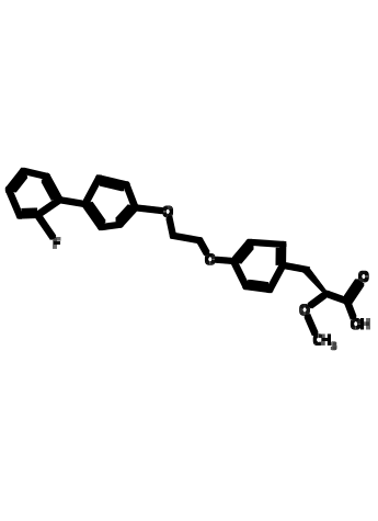 CO[C@@H](Cc1ccc(OCCOc2ccc(-c3ccccc3F)cc2)cc1)C(=O)O